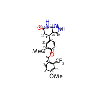 COc1ccc(COc2ccc(C3CC(=O)Nc4n[nH]cc43)cc2OC)c(C(F)(F)F)c1